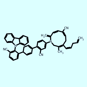 C=CC/C=C\C1=C(/C)CN(c2ccc(C3=CCC(c4cccc(C#N)c4-n4c5ccccc5c5ccccc54)C=C3)c(C#N)c2)C(=C)/C=C\C(C#N)=C/C1